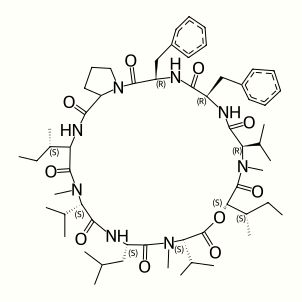 CC[C@H](C)C1NC(=O)C2CCCN2C(=O)[C@@H](Cc2ccccc2)NC(=O)[C@@H](Cc2ccccc2)NC(=O)[C@@H](C(C)C)N(C)C(=O)[C@H]([C@@H](C)CC)OC(=O)[C@H](C(C)C)N(C)C(=O)[C@H](CC(C)C)NC(=O)[C@H](C(C)C)N(C)C1=O